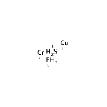 P.S.[Cr].[Cu]